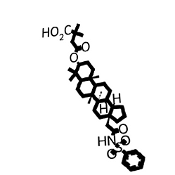 CC(C)(CC(=O)O[C@H]1CC[C@@]2(C)C(CC[C@]3(C)C2CC[C@@H]2[C@H]4CCC[C@]4(CC(=O)NS(=O)(=O)c4ccccc4)CC[C@]23C)C1(C)C)C(=O)O